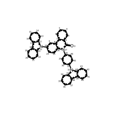 O=c1c2ccccc2c2cc(-n3c4ccccc4c4ccccc43)ccc2n1-c1ccc(-n2c3ccccc3c3ccccc32)cc1